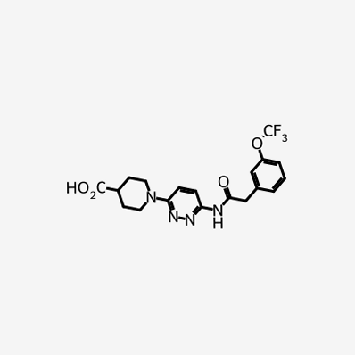 O=C(Cc1cccc(OC(F)(F)F)c1)Nc1ccc(N2CCC(C(=O)O)CC2)nn1